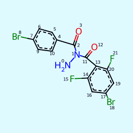 NN(C(=O)c1ccc(Br)cc1)C(=O)c1c(F)cc(Br)cc1F